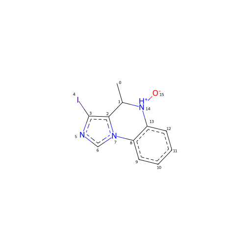 CC1c2c(I)ncn2-c2ccccc2[NH+]1[O-]